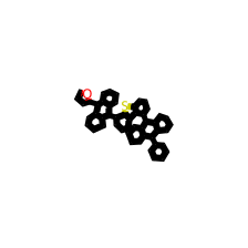 c1ccc(-c2c3ccccc3c(-c3cccc4sc5c(-c6c7ccccc7c(-c7ccco7)c7ccccc67)cccc5c34)c3ccccc23)cc1